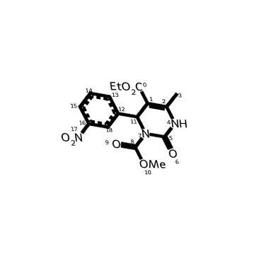 CCOC(=O)C1=C(C)NC(=O)N(C(=O)OC)C1c1cccc([N+](=O)[O-])c1